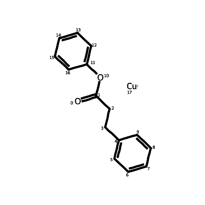 O=C(CCc1ccccc1)Oc1ccccc1.[Cu]